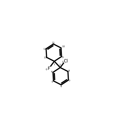 FC1(C2(Cl)C=CC=CC2)C=CC=CC1